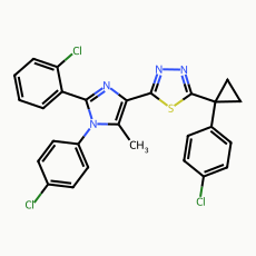 Cc1c(-c2nnc(C3(c4ccc(Cl)cc4)CC3)s2)nc(-c2ccccc2Cl)n1-c1ccc(Cl)cc1